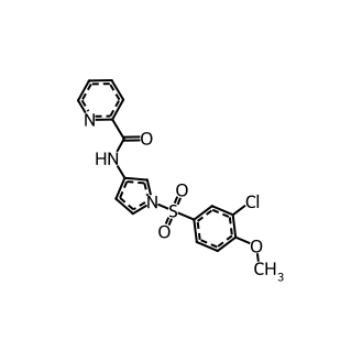 COc1ccc(S(=O)(=O)n2ccc(NC(=O)c3ccccn3)c2)cc1Cl